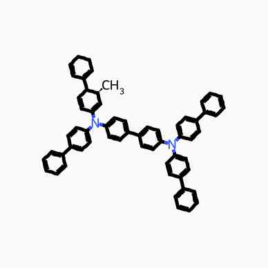 C[C@@H]1C=C(N(c2ccc(-c3ccccc3)cc2)c2ccc(-c3ccc(N(c4ccc(-c5ccccc5)cc4)c4ccc(-c5ccccc5)cc4)cc3)cc2)C=CC1C1=CCCC=C1